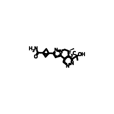 C[C@H]1Cn2nc(C34CC(C(N)=O)(C3)C4)cc2-c2cnnc([C@@](C)(O)C(F)(F)F)c21